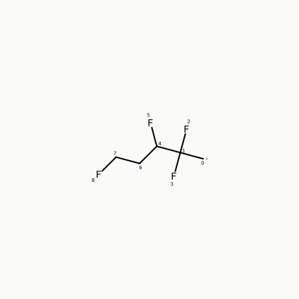 [CH2]C(F)(F)C(F)CCF